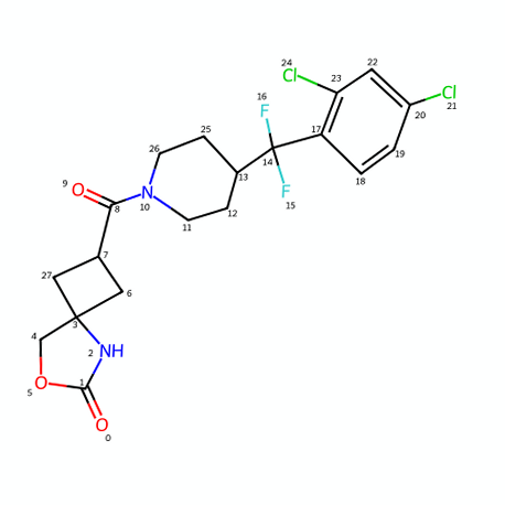 O=C1NC2(CO1)CC(C(=O)N1CCC(C(F)(F)c3ccc(Cl)cc3Cl)CC1)C2